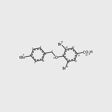 CC(C)(C)c1ccc(COc2c(Br)cc(C(=O)O)cc2Br)cc1